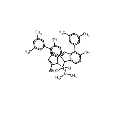 CCCCC1=Cc2c(ccc(CCC)c2-c2cc(C)cc(C)c2)[CH]1[Zr]([Cl])([Cl])([CH]1C(CCCC)=Cc2c1ccc(CCC)c2-c1cc(C)cc(C)c1)[SiH](C)C